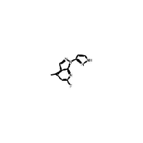 Cc1cc(F)nc2c1cnn2-c1cc[nH]n1